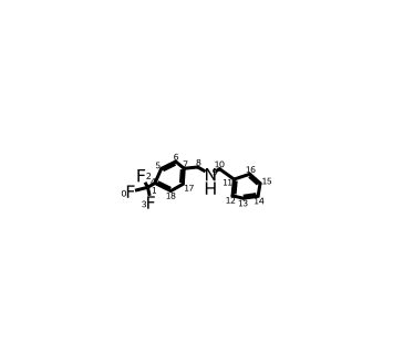 FC(F)(F)c1ccc(CNCc2ccccc2)cc1